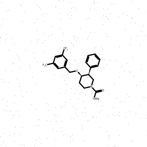 COC(=O)N1CC[C@@H](OCc2cc(C(F)(F)F)cc(C(F)(F)F)c2)[C@@H](c2ccccc2)C1